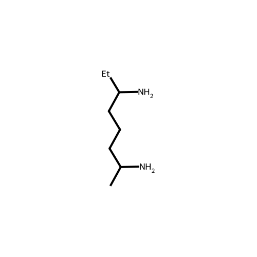 [CH2]CC(N)CCCC(C)N